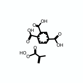 C=C(C)C(=O)OO.O=C(O)c1ccc(C(=O)O)c(C(=O)O)c1